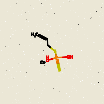 C=CCSP(O)(O)=S.[Cu]